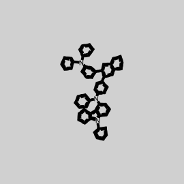 c1ccc(N(c2ccccc2)c2cccc(-c3cc4ccccc4cc3-c3ccc(N(c4ccccc4)c4cccc5c4c4ccccc4n5-c4ccccc4)cc3)c2)cc1